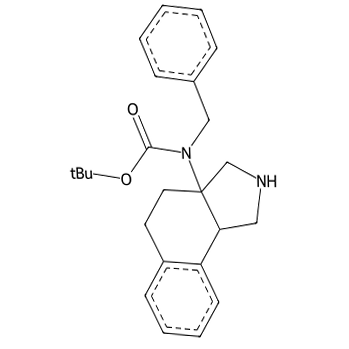 CC(C)(C)OC(=O)N(Cc1ccccc1)C12CCc3ccccc3C1CNC2